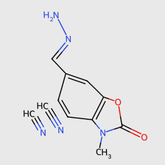 C#N.C#N.Cn1c(=O)oc2cc(C=NN)ccc21